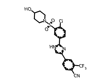 N#Cc1ccc(-c2c[nH]c(-c3ccc(Cl)c(S(=O)(=O)N4CCC(O)CC4)c3)n2)cc1C(F)(F)F